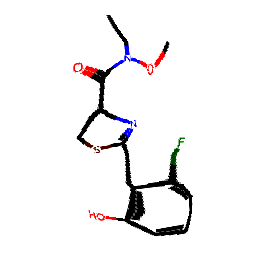 CON(C)C(=O)C1CSC(c2c(O)cccc2F)=N1